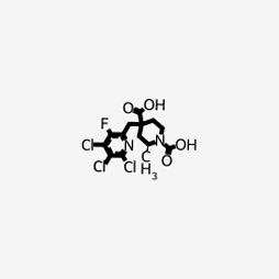 C[C@@H]1CC(Cc2nc(Cl)c(Cl)c(Cl)c2F)(C(=O)O)CCN1C(=O)O